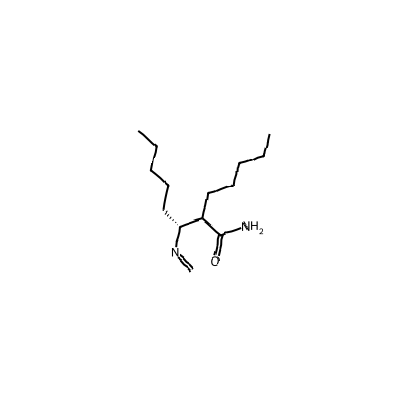 C=N[C@H](CCCCC)C(CCCCC)C(N)=O